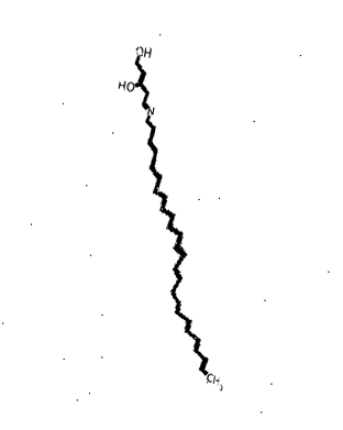 CCCCCCCCCCCCCCCCCCCCCCCCCCN=CCC(O)=CCO